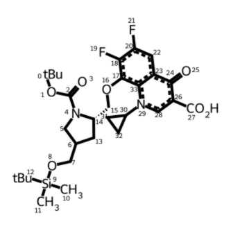 CC(C)(C)OC(=O)N1CC(CO[Si](C)(C)C(C)(C)C)C[C@H]1COc1c(F)c(F)cc2c(=O)c(C(=O)O)cn(C3CC3)c12